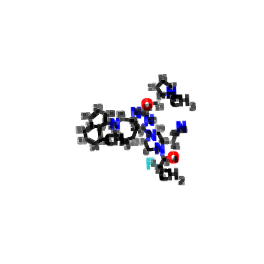 C=C(F)C(=O)N1CCN(c2nc(OC[C@@H]3CCCN3C)nc3c2CCCN(c2cccc4cccc(C)c24)C3)C[C@@H]1CC#N